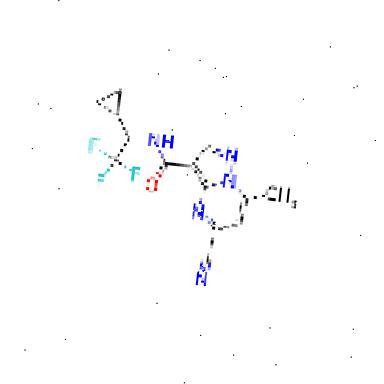 Cc1cc(C#N)nc2c(C(=O)NC(C3CC3)C(F)(F)F)cnn12